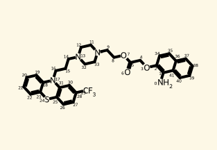 Nc1c(OCC(=O)OCCN2CCN(CCCN3c4ccccc4Sc4ccc(C(F)(F)F)cc43)CC2)ccc2ccccc12